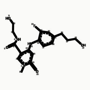 Cn1cc(C(=O)NCCO)c(Nc2ccc(CCCO)cc2F)cc1=O